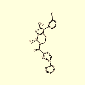 C[C@H]1c2nn(C)c(-c3cccc(Cl)c3)c2CCN1C(=O)c1ncn(-c2ccccc2)n1